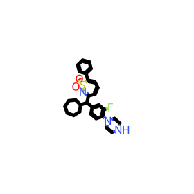 O=S1(=O)N=C(C(c2ccc(N3CCNCC3)c(F)c2)C2CCCCCC2)C=CC=C1c1ccccc1